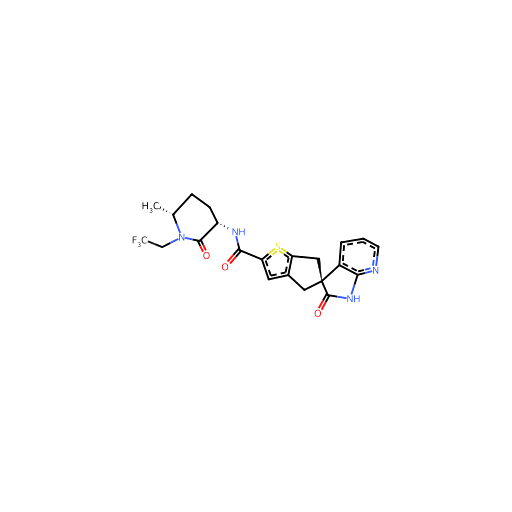 C[C@@H]1CC[C@H](NC(=O)c2cc3c(s2)C[C@]2(C3)C(=O)Nc3ncccc32)C(=O)N1CC(F)(F)F